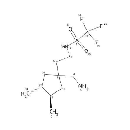 C[C@@H]1CC(CN)(CCNS(=O)(=O)C(F)(F)F)C[C@H]1C